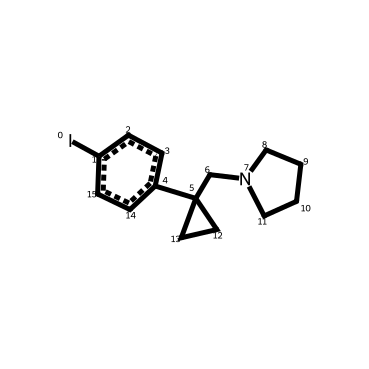 Ic1ccc(C2(CN3CCCC3)CC2)cc1